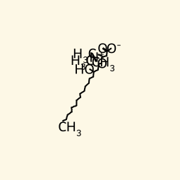 CCCCCCCCCCCCCCCC(O)CCOC(CC(=O)[O-])C[N+](C)(C)C